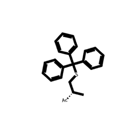 CC(=O)[C@@H](C)CSC(c1ccccc1)(c1ccccc1)c1ccccc1